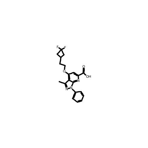 Cc1nn(-c2ccccc2)c2nc(C(=O)O)cc(OCCC3CC(F)(F)C3)c12